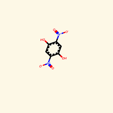 O=[N+]([O-])c1cc(O)c([N+](=O)[O-])cc1O